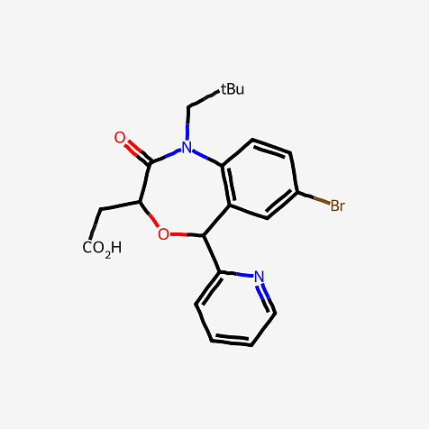 CC(C)(C)CN1C(=O)C(CC(=O)O)OC(c2ccccn2)c2cc(Br)ccc21